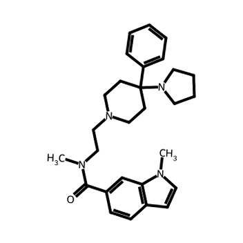 CN(CCN1CCC(c2ccccc2)(N2CCCC2)CC1)C(=O)c1ccc2ccn(C)c2c1